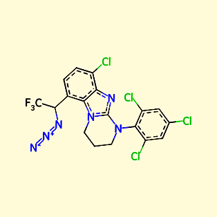 [N-]=[N+]=NC(c1ccc(Cl)c2nc3n(c12)CCCN3c1c(Cl)cc(Cl)cc1Cl)C(F)(F)F